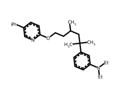 CCN(CC)c1cccc(C(C)(C)CC(C)CCOc2ccc(C(C)C)cn2)c1